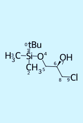 CC(C)(C)[Si](C)(C)OC[C@@H](O)CCl